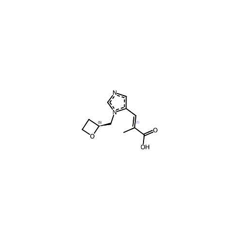 C/C(=C\c1cncn1C[C@@H]1CCO1)C(=O)O